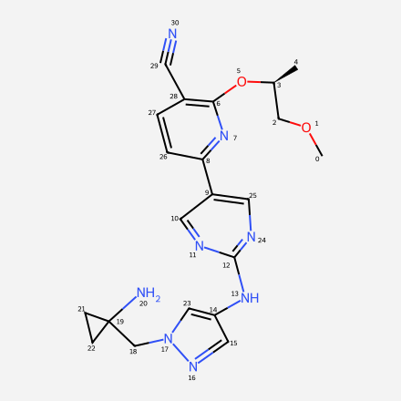 COC[C@H](C)Oc1nc(-c2cnc(Nc3cnn(CC4(N)CC4)c3)nc2)ccc1C#N